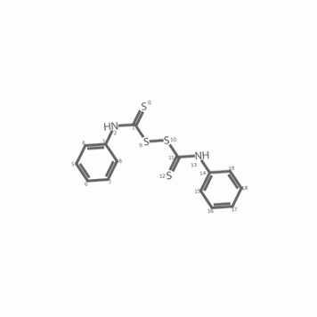 S=C(Nc1ccccc1)SSC(=S)Nc1ccccc1